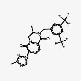 Cc1ncn(-c2ccc3n(c2=O)C[C@@H](C)N(Cc2cc(C(F)(F)F)cc(C(F)(F)F)c2)C3=O)n1